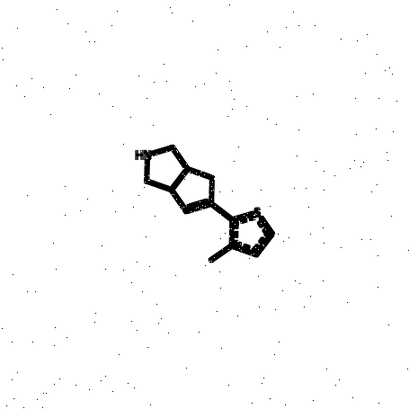 Cc1ccsc1C1=CC2CNCC2C1